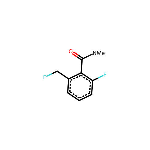 CNC(=O)c1c(F)cccc1CF